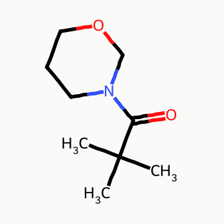 CC(C)(C)C(=O)N1CCCOC1